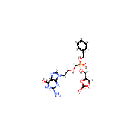 Nc1nc2c(ncn2CCOCP(=O)(OCc2ccccc2)OCc2coc(=O)o2)c(=O)[nH]1